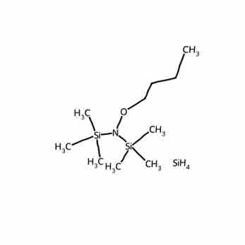 CCCCON([Si](C)(C)C)[Si](C)(C)C.[SiH4]